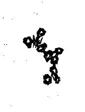 C1=CC(n2c3ccccc3c3cc(-c4ccc5c6ccccc6c6cc(-c7ccc(-c8nc(-c9ccccc9)nc(-c9ccccc9)n8)cc7)ccc6c5c4)ccc32)=CCC1